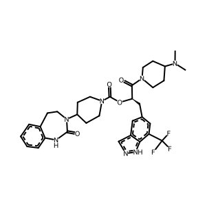 CN(C)C1CCN(C(=O)[C@@H](Cc2cc(C(F)(F)F)c3[nH]ncc3c2)OC(=O)N2CCC(N3CCc4ccccc4NC3=O)CC2)CC1